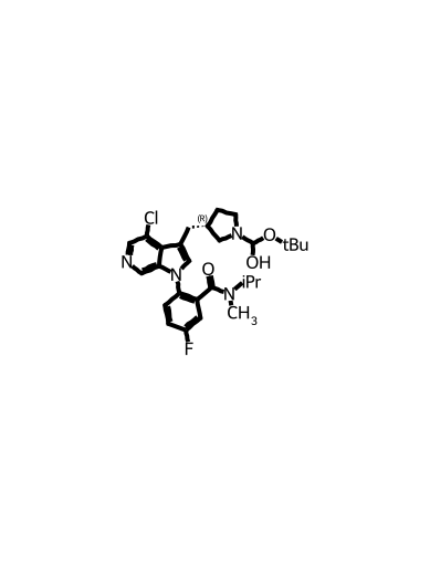 CC(C)N(C)C(=O)c1cc(F)ccc1-n1cc(C[C@@H]2CCN(C(O)OC(C)(C)C)C2)c2c(Cl)cncc21